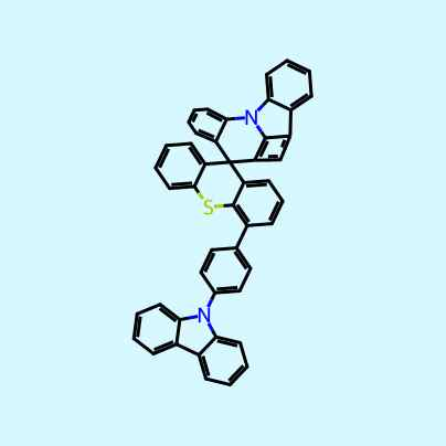 c1ccc2c(c1)Sc1c(-c3ccc(-n4c5ccccc5c5ccccc54)cc3)cccc1C21c2ccccc2-n2c3ccccc3c3cccc1c32